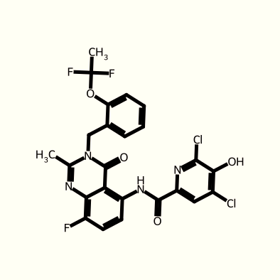 Cc1nc2c(F)ccc(NC(=O)c3cc(Cl)c(O)c(Cl)n3)c2c(=O)n1Cc1ccccc1OC(C)(F)F